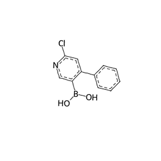 OB(O)c1cnc(Cl)cc1-c1ccccc1